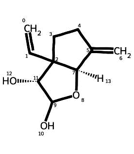 C=CC12CCC(=C)[C@H]1OC(O)[C@@H]2O